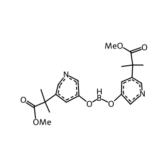 COC(=O)C(C)(C)c1cncc(OBOc2cncc(C(C)(C)C(=O)OC)c2)c1